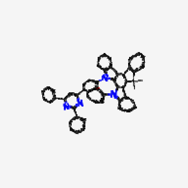 CC1(C)c2ccccc2-c2c1c1c3ccccc3n(-c3ccccc3)c1c1c2c2ccccc2n1-c1ccc(-c2cc(-c3ccccc3)nc(-c3ccccc3)n2)cc1